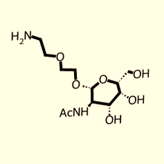 CC(=O)N[C@H]1[C@H](OCCOCCN)O[C@H](CO)[C@H](O)[C@@H]1O